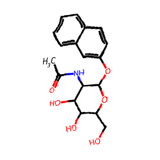 CC(=O)NC1C(Oc2ccc3ccccc3c2)OC(CO)C(O)C1O